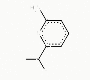 Nc1cccc(C(F)F)n1